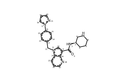 O=C(N[C@@H]1CCCNC1)c1cn(Cc2ccc(-n3cccn3)cc2)c2cccnc12